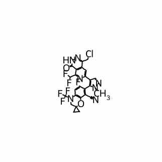 Cn1ncc(-c2cc3c(CCl)n[nH]c(=O)c3c(C(F)F)n2)c1-c1c(F)cc2c(c1C#N)OC1(CC1)CN2C(F)(F)F